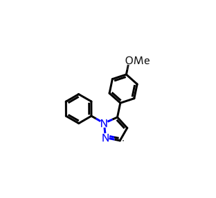 COc1ccc(-c2c[c]nn2-c2ccccc2)cc1